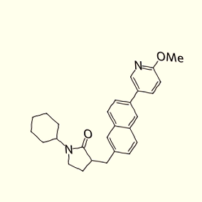 COc1ccc(-c2ccc3cc(CC4CCN(C5CCCCC5)C4=O)ccc3c2)cn1